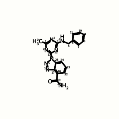 Cc1nc(NCc2ccccc2)nc(-n2nnc3c(C(N)=O)cccc32)n1